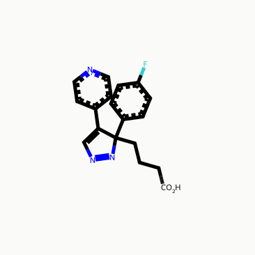 O=C(O)CCCC1(c2ccc(F)cc2)N=NC=C1c1ccncc1